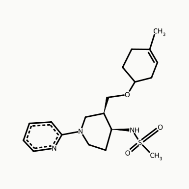 CC1=CCC(OC[C@@H]2CN(c3ccccn3)CC[C@@H]2NS(C)(=O)=O)CC1